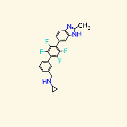 Cc1nc2ccc(-c3c(F)c(F)c(-c4cccc(CNC5CC5)c4)c(F)c3F)cc2[nH]1